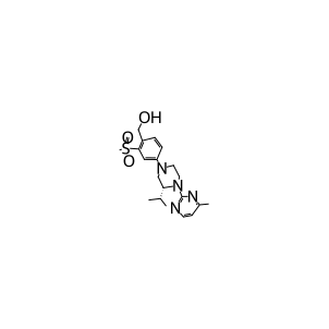 Cc1ccnc(N2CCN(c3ccc(CO)c(S(C)(=O)=O)c3)C[C@H]2C(C)C)n1